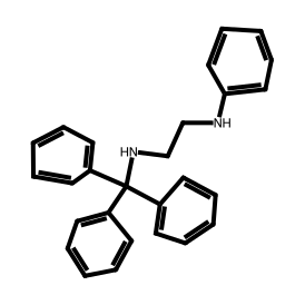 c1ccc(NCCNC(c2ccccc2)(c2ccccc2)c2ccccc2)cc1